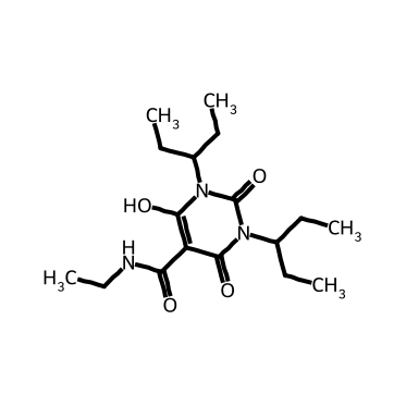 CCNC(=O)c1c(O)n(C(CC)CC)c(=O)n(C(CC)CC)c1=O